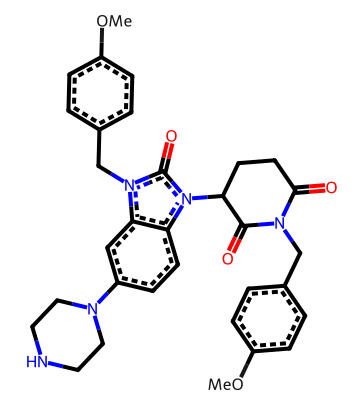 COc1ccc(CN2C(=O)CCC(n3c(=O)n(Cc4ccc(OC)cc4)c4cc(N5CCNCC5)ccc43)C2=O)cc1